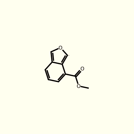 COC(=O)c1cccc2co[c]c12